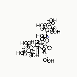 CN(CCCC(=O)O)C(=O)c1ccccc1-c1c2cc/c(=N/Cc3cc(S(=O)(=O)O)c4cc(S(=O)(=O)O)cc(S(=O)(=O)O)c4c3)c(S(=O)(=O)O)c-2oc2c(S(=O)(=O)O)c(NCc3cc(S(=O)(=O)O)c4cc(S(=O)(=O)O)cc(S(=O)(=O)O)c4c3)ccc12